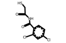 O=C(CS)NC(=O)c1ccc(Cl)cc1Cl